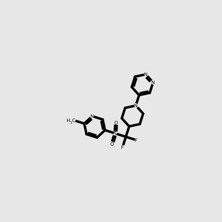 Cc1ccc(S(=O)(=O)C(F)(F)C2CCN(c3ccnnc3)CC2)cn1